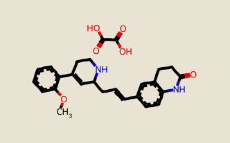 COc1ccccc1C1=CC(CC=Cc2ccc3c(c2)CCC(=O)N3)NCC1.O=C(O)C(=O)O